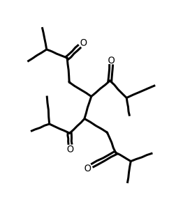 CC(C)C(=O)CC(C(=O)C(C)C)C(CC(=O)C(C)C)C(=O)C(C)C